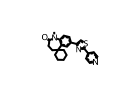 CN1C(=O)CCC2(CCCCC2)c2cc(-c3csc(-c4ccncc4)n3)ccc21